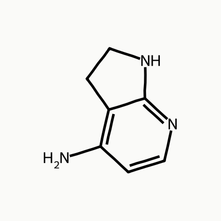 Nc1ccnc2c1CCN2